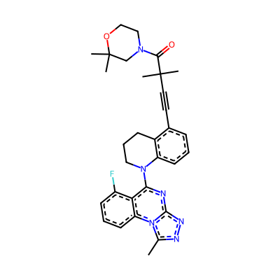 Cc1nnc2nc(N3CCCc4c(C#CC(C)(C)C(=O)N5CCOC(C)(C)C5)cccc43)c3c(F)cccc3n12